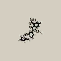 CC1c2cc(F)cc(C(N)=O)c2C(=O)N1C1CCN(Cc2cccn2C)CC1